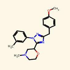 COc1ccc(Cc2nc(C3CN(C)CCO3)n(-c3cccc(C)c3)n2)cc1